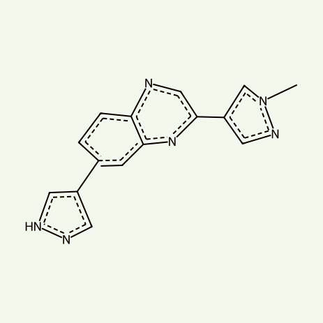 Cn1cc(-c2cnc3ccc(-c4cn[nH]c4)cc3n2)cn1